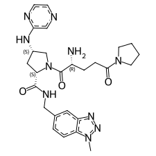 Cn1nnc2cc(CNC(=O)[C@@H]3C[C@H](Nc4cnccn4)CN3C(=O)[C@H](N)CCC(=O)N3CCCC3)ccc21